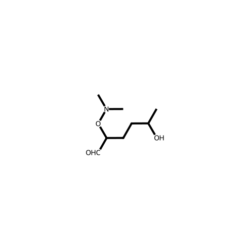 CC(O)CCC(C=O)ON(C)C